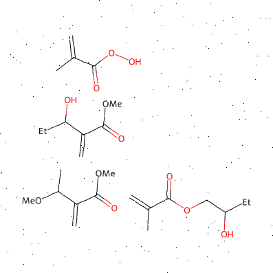 C=C(C(=O)OC)C(C)OC.C=C(C(=O)OC)C(O)CC.C=C(C)C(=O)OCC(O)CC.C=C(C)C(=O)OO